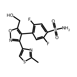 Cc1nc(-c2noc(CO)c2-c2cc(F)c(S(N)(=O)=O)cc2F)cs1